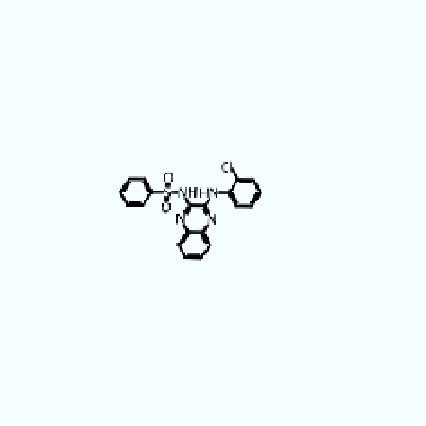 O=S(=O)(Nc1nc2ccccc2nc1Nc1ccccc1Cl)c1ccccc1